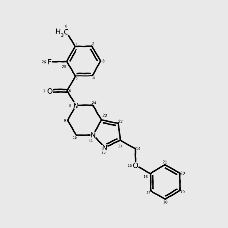 Cc1cccc(C(=O)N2CCn3nc(COc4ccccc4)cc3C2)c1F